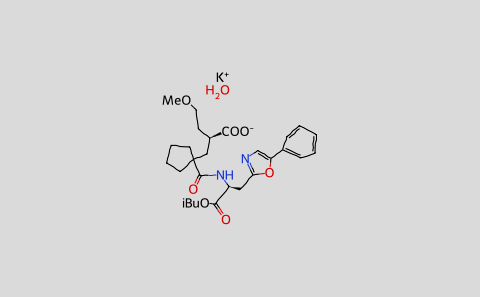 COCC[C@H](CC1(C(=O)N[C@@H](Cc2ncc(-c3ccccc3)o2)C(=O)OCC(C)C)CCCC1)C(=O)[O-].O.[K+]